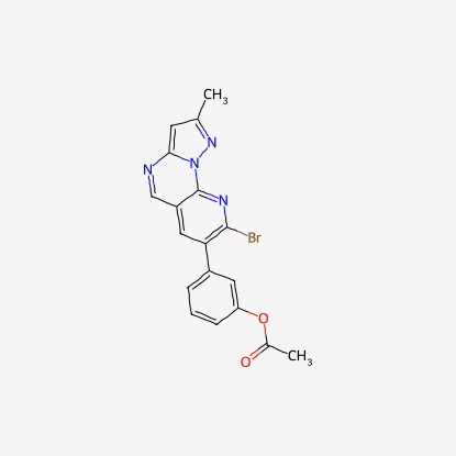 CC(=O)Oc1cccc(-c2cc3cnc4cc(C)nn4c3nc2Br)c1